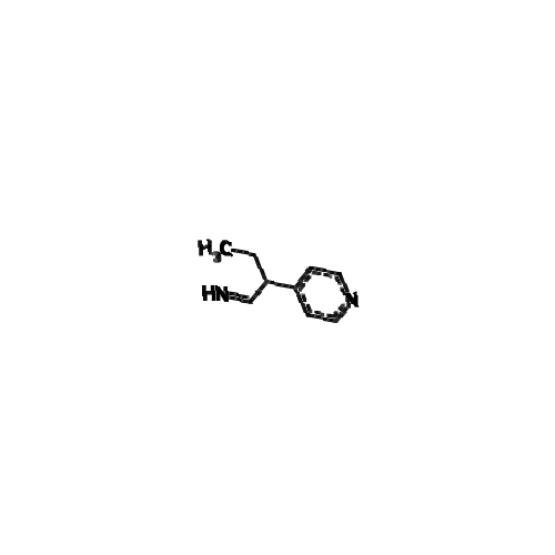 CCC(C=N)c1ccncc1